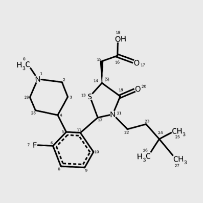 CN1CCC(c2c(F)cccc2C2S[C@@H](CC(=O)O)C(=O)N2CCC(C)(C)C)CC1